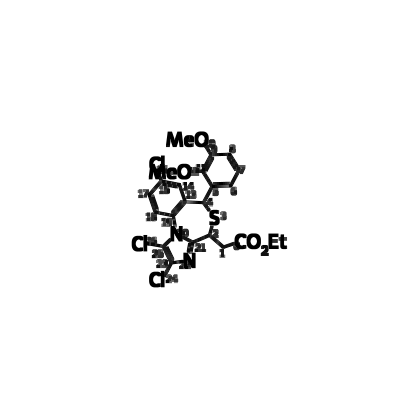 CCOC(=O)CC1SC(c2cccc(OC)c2OC)c2cc(Cl)ccc2-n2c1nc(Cl)c2Cl